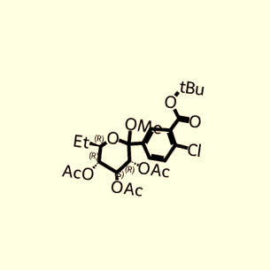 CC[C@H]1OC(OC)(c2ccc(Cl)c(C(=O)OC(C)(C)C)c2)[C@H](OC(C)=O)[C@@H](OC(C)=O)[C@@H]1OC(C)=O